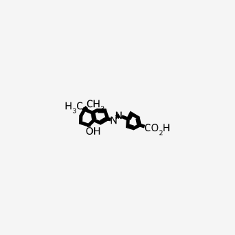 CC1(C)CCC(O)c2cc(/N=N/c3ccc(C(=O)O)cc3)ccc21